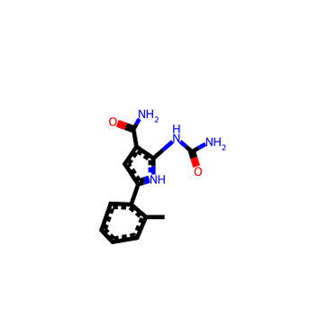 Cc1ccccc1-c1cc(C(N)=O)c(NC(N)=O)[nH]1